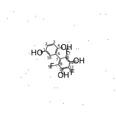 Oc1ccc(O)c(-c2c(F)c(O)c(F)c(O)c2F)c1